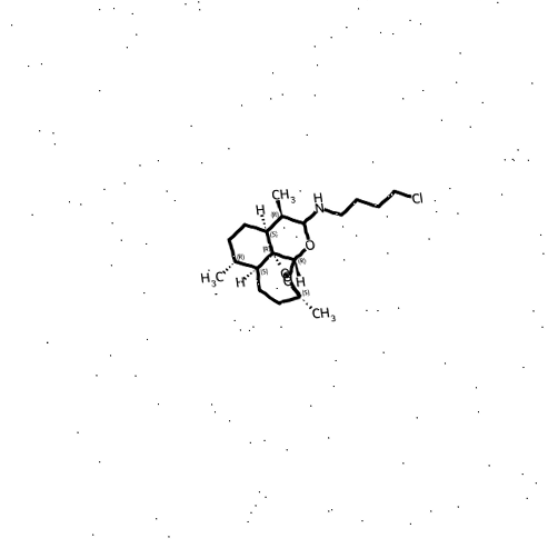 C[C@@H]1CC[C@H]2[C@@H](C)C(NCCCCCl)O[C@@H]3O[C@]4(C)CC[C@@H]1[C@]32OO4